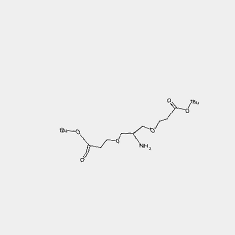 CC(C)(C)OC(=O)CCOCC(N)COCCC(=O)OC(C)(C)C